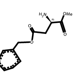 COC(=O)[C@H](N)CC(=O)OCc1ccccc1